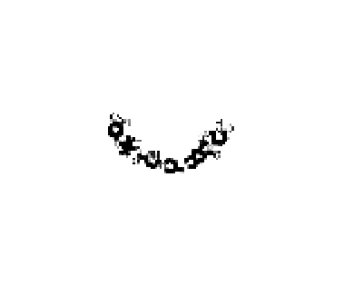 CCc1cc(O[C@H]2C(C)(C)[C@H](NC(=O)c3ccc(N4CCC(CN5Cc6cc7c(cc6C5)C(=O)N(C5CCC(=O)NC5=O)C7=O)CC4)nn3)C2(C)C)ccc1C#N